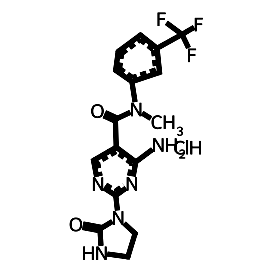 CN(C(=O)c1cnc(N2CCNC2=O)nc1N)c1cccc(C(F)(F)F)c1.Cl